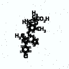 Cc1cc(CN(Cc2ccsc2)c2cc(-c3ccc(Cl)cc3)nn2C)cc(C)c1OC(C)(C)C(=O)O